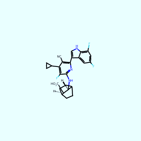 N#Cc1c(-c2c[nH]c3c(F)cc(F)cc23)nc(N[C@@H]2C3CCC(CC3)[C@H]2C(=O)O)c(F)c1C1CC1